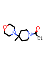 CCC(=O)N1CCC(C)(N2CCOCC2)CC1